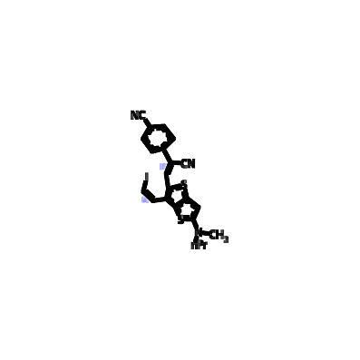 CCCN(C)c1cc2sc(/C=C(\C#N)c3ccc(C#N)cc3)c(/C=C\I)c2s1